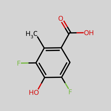 Cc1c(C(=O)O)cc(F)c(O)c1F